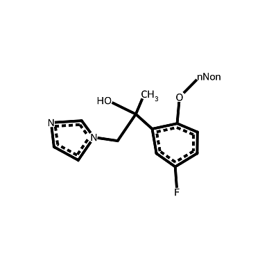 CCCCCCCCCOc1ccc(F)cc1C(C)(O)Cn1ccnc1